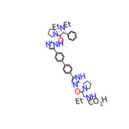 CC[C@@H](NC(=O)O)C(=O)N1CCC[C@H]1c1ncc(-c2ccc(-c3ccc(-c4cnc([C@@H]5CCCN5C(=O)[C@@H](c5ccccc5)N(CC)CC)[nH]4)cc3)cc2)[nH]1